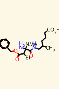 CCC(C(=O)OCc1ccccc1)C(N)(NC)C(=O)NCC(C)CCCC(=O)O